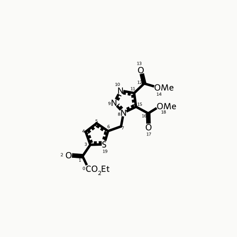 CCOC(=O)C(=O)c1ccc(Cn2nnc(C(=O)OC)c2C(=O)OC)s1